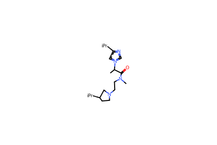 CC(C)c1cn(C(C)C(=O)N(C)CCN2CCC(C(C)C)C2)cn1